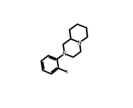 Ic1ccccc1N1CCN2CCCCC2C1